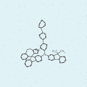 Cc1cc(-c2ccc(-c3ccccc3)cc2)ccc1N(c1ccc2c(c1)C(C)(C)c1ccccc1-2)c1ccc2c(c1)C1(c3ccccc3CCc3ccccc31)c1ccccc1-2